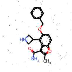 Cc1oc2ccc(OCc3ccccc3)c(C3CNC3)c2c1C(N)=O